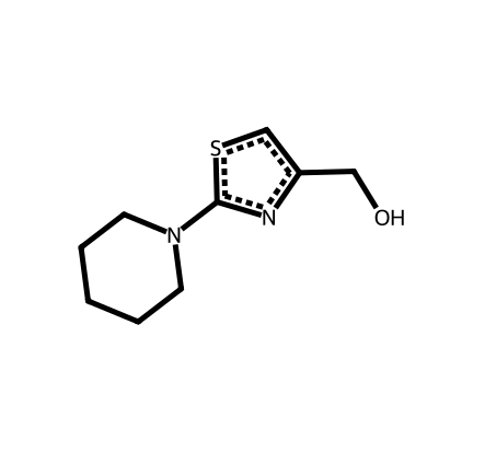 OCc1csc(N2CCCCC2)n1